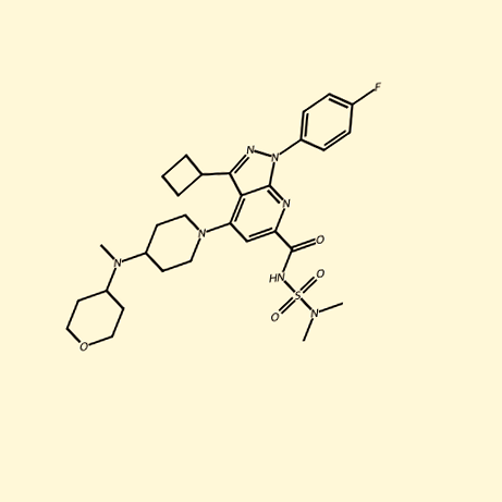 CN(C1CCOCC1)C1CCN(c2cc(C(=O)NS(=O)(=O)N(C)C)nc3c2c(C2CCC2)nn3-c2ccc(F)cc2)CC1